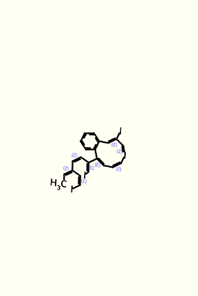 C/C=C(\C=C/I)/C=C\C(=C/I)C1=C\C=C/I=C\C(I)=C\c2ccccc2/1